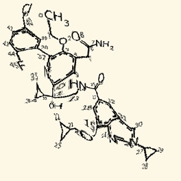 CCOc1c(CC(N)=O)cc([C@@](O)(CNC(=O)c2cc(OC3CC3)c3nn(C4CC4)cc3c2)C2CC2)nc1-c1cc(Cl)ccc1F